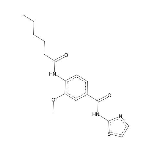 CCCCCC(=O)Nc1ccc(C(=O)Nc2nccs2)cc1OC